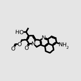 CC(O)c1cc2n(c(=O)c1COC=O)Cc1c-2nc2ccc(N)c3c2c1CCC3